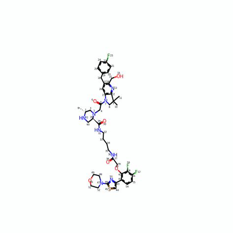 C[C@@H]1CN(CC(=O)N2CC(C)(C)c3nc(CO)c(Cc4ccc(F)cc4)cc32)[C@@H](C(=O)NCCCCNC(=O)COc2c(-c3csc(N4CCOCC4)n3)ccc(F)c2F)CN1